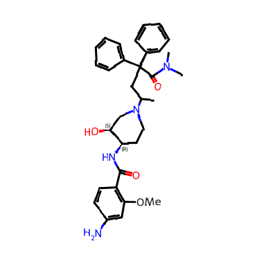 COc1cc(N)ccc1C(=O)N[C@@H]1CCN(C(C)CC(C(=O)N(C)C)(c2ccccc2)c2ccccc2)C[C@@H]1O